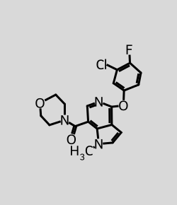 Cn1ccc2c(Oc3ccc(F)c(Cl)c3)ncc(C(=O)N3CCOCC3)c21